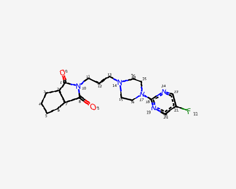 O=C1C2CCCCC2C(=O)N1CCCN1CCN(c2ncc(F)cn2)CC1